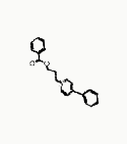 O=C(OCCC[n+]1ccc(-c2ccccc2)cc1)c1ccccc1